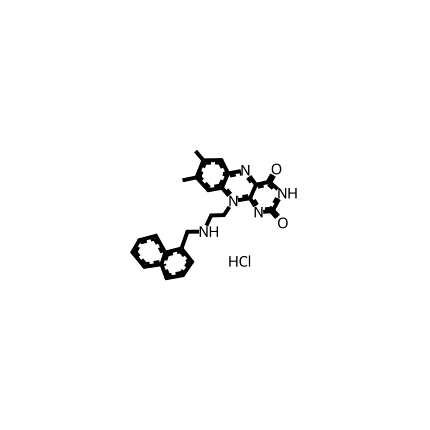 Cc1cc2nc3c(=O)[nH]c(=O)nc-3n(CCNCc3cccc4ccccc34)c2cc1C.Cl